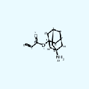 C=CC(=O)OC12CC3CC(CC(N)(C3)C1)C2